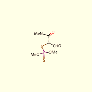 CNC(=O)C(C=O)SP(=S)(OC)OC